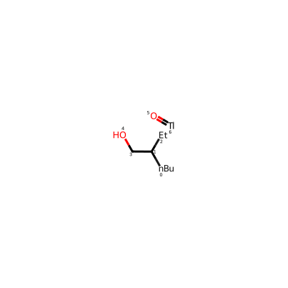 CCCCC(CC)CO.[O]=[Tl]